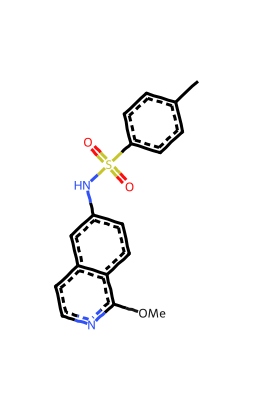 COc1nccc2cc(NS(=O)(=O)c3ccc(C)cc3)ccc12